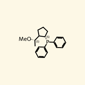 CO[C@@H](C)C1CCC[C@@H]1P(c1ccccc1)c1ccccc1